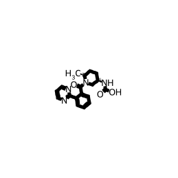 C[C@@H]1CC[C@@H](NC(=O)O)CN1C(=O)c1ccccc1-c1ncccn1